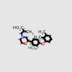 Cc1cccc(Oc2ccc(C3CN(CC(C)C(=O)O)CCO3)cc2)c1C.Cl